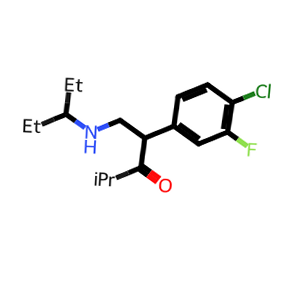 CCC(CC)NCC(C(=O)C(C)C)c1ccc(Cl)c(F)c1